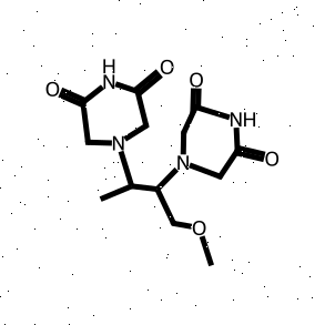 COCC(C(C)N1CC(=O)NC(=O)C1)N1CC(=O)NC(=O)C1